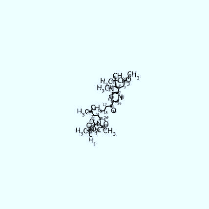 COCCc1c(C(C)(C)C)n(C)c2nc(C(=O)CCC[C@@H](CC(C)C)[C@@H]3COC(C)(C)N3C(=O)OC(C)(C)C)cnc12